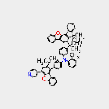 Cc1ccccc1N(c1ccc2c(c1)C(C)(C)c1cc(-c3ccncc3)c3oc4ccccc4c3c1-2)c1ccc2c(c1)C(C)(C)c1c3c(c4oc5ccccc5c4c1-2)-c1ccccc1C3(C)C